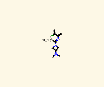 C=C(F)C(=C)/N=C(\N(C)O)N1CC(N(C)C)C1